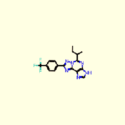 CCC(C)c1nc2[nH]cnc2c2nc(-c3ccc(C(F)(F)F)cc3)nn12